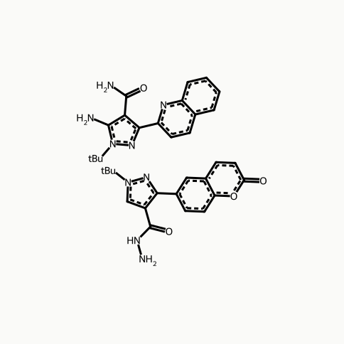 CC(C)(C)n1cc(C(=O)NN)c(-c2ccc3oc(=O)ccc3c2)n1.CC(C)(C)n1nc(-c2ccc3ccccc3n2)c(C(N)=O)c1N